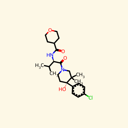 CC(C)[C@@H](NC(=O)C1CCOCC1)C(=O)N1CC[C@](O)(c2ccc(Cl)cc2)C(C)(C)C1